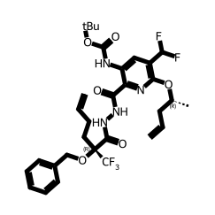 C=CCC[C@@](OCc1ccccc1)(C(=O)NNC(=O)c1nc(O[C@H](C)CC=C)c(C(F)F)cc1NC(=O)OC(C)(C)C)C(F)(F)F